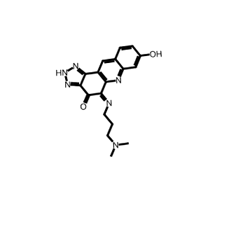 CN(C)CCCN=C1C(=O)c2n[nH]nc2-c2cc3ccc(O)cc3nc21